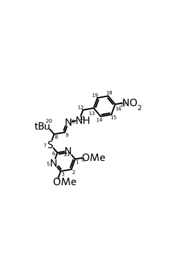 COc1cc(OC)nc(SC(/C=N/NCc2ccc([N+](=O)[O-])cc2)C(C)(C)C)n1